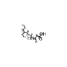 CCCC(CC)CCCNC(C)CC(=O)O